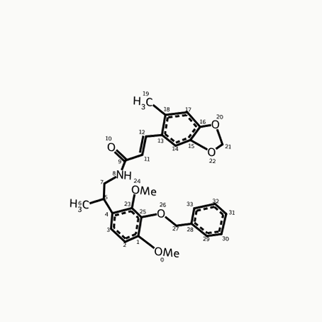 COc1ccc(C(C)CNC(=O)/C=C/c2cc3c(cc2C)OCO3)c(OC)c1OCc1ccccc1